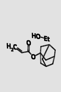 C=CC(=O)OC12CC3CC(CC(C3)C1)C2.CCO